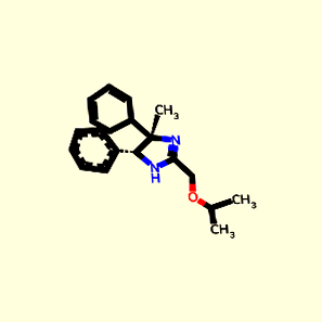 CC(C)OCC1=N[C@@](C)(C2C=CC=CC2)[C@@H](c2ccccc2)N1